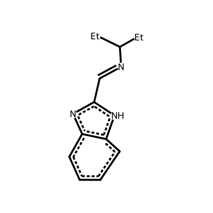 CCC(CC)/N=C/c1nc2ccccc2[nH]1